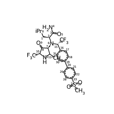 CC(C)C[C@@H](C(N)=O)N([C@@H]1C(=O)C(C(F)(F)F)NC1C)[C@@H](c1ccc(-c2ccc(S(C)(=O)=O)cc2)cc1)C(F)(F)F